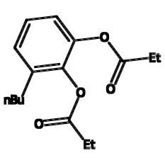 CCCCc1cccc(OC(=O)CC)c1OC(=O)CC